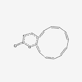 O=c1ccc2c(o1)=CC=CC=CC=CC=CC=2